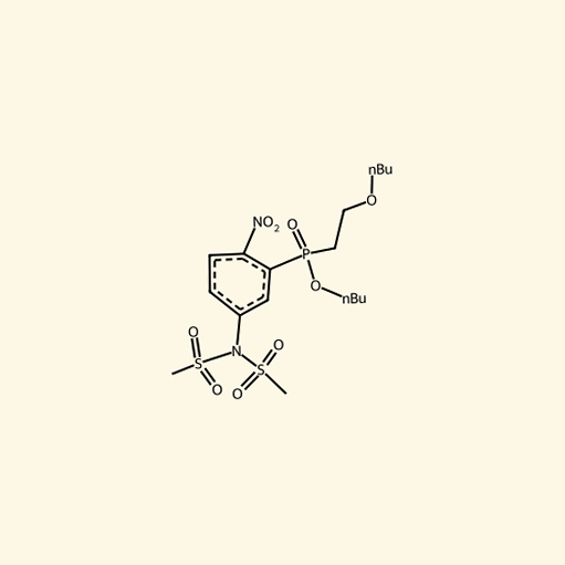 CCCCOCCP(=O)(OCCCC)c1cc(N(S(C)(=O)=O)S(C)(=O)=O)ccc1[N+](=O)[O-]